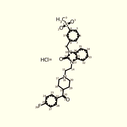 CS(=O)(=O)c1cccc(Cn2c(=O)n(CCN3CCC(C(=O)c4ccc(F)cc4)CC3)c3ccccc32)c1.Cl